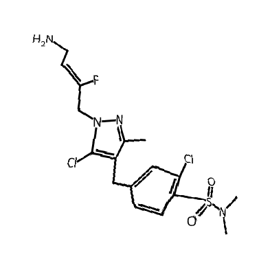 Cc1nn(CC(F)=CCN)c(Cl)c1Cc1ccc(S(=O)(=O)N(C)C)c(Cl)c1